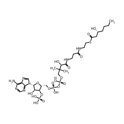 CCCC[C@@H](O)CC(=O)SCCNC(=O)CCNC(=O)[C@H](O)C(C)(C)COP(=O)(O)OP(=O)(O)OC[C@H]1O[C@@H](n2cnc3c(N)ncnc32)[C@H](O)[C@@H]1OP(=O)(O)O